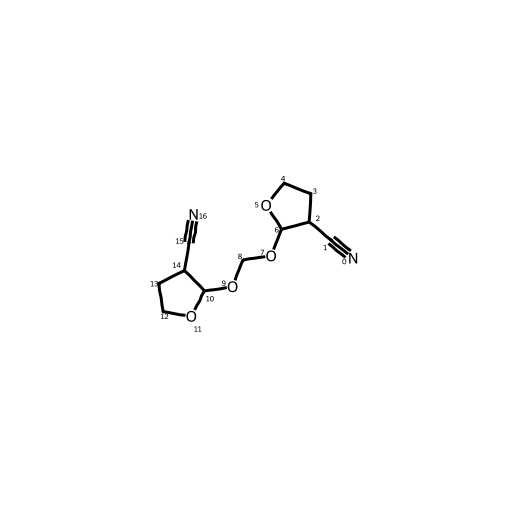 N#CC1CCOC1OCOC1OCCC1C#N